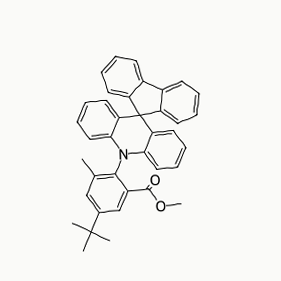 COC(=O)c1cc(C(C)(C)C)cc(C)c1N1c2ccccc2C2(c3ccccc3-c3ccccc32)c2ccccc21